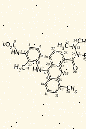 CCOC(=O)Nc1cccc(Nc2c3cccc(C)c3nc3c(C(=O)N(CC)N(C)C)cccc23)c1C